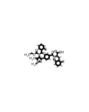 CCOC(=O)N(C(=O)c1ccccc1F)c1c(-c2ccc(C(=O)NC(Cc3c(F)cccc3F)C(=O)O)cc2)nn(C)c1C